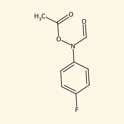 CC(=O)ON(C=O)c1ccc(F)cc1